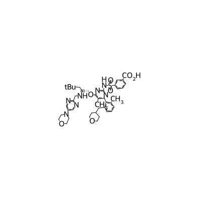 Cc1cccc(CC2CCOCC2)c1-c1nc(NS(=O)(=O)c2cccc(C(=O)O)c2)nc(OC[C@@H](CC(C)(C)C)NCc2ncc(N3CCOCC3)cn2)c1C